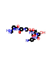 CCOc1cc(C#N)ccc1CNC(=O)[C@@H]1C[C@@H](O)CN1C(=O)[C@@H](NC(=O)COC1CCN(c2ccc(NC(=O)c3cccc(-c4ccn[nH]4)n3)c(OC)c2)CC1)C(C)(C)C